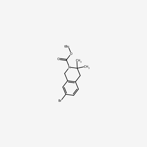 CC(C)(C)OC(=O)N1Cc2cc(Br)ccc2CC1(C)C